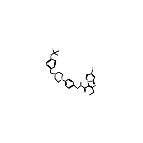 CCc1nc2cc(I)ccn2c1C(=O)NCc1ccc(N2CCN(Cc3ccc(OC(F)(F)F)cc3)CC2)cc1